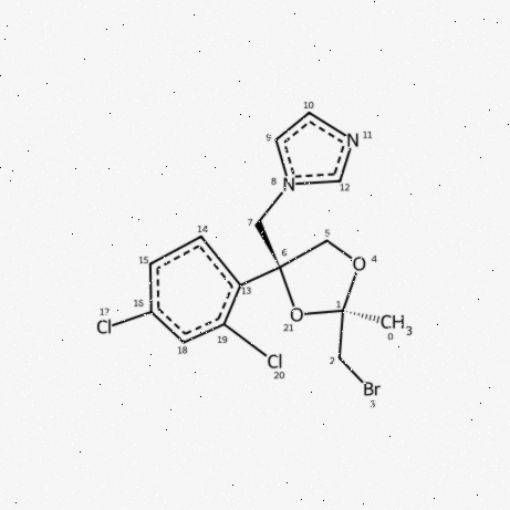 C[C@@]1(CBr)OC[C@@](Cn2ccnc2)(c2ccc(Cl)cc2Cl)O1